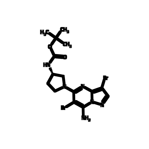 CC(C)(C)OC(=O)N[C@H]1CCN(c2nc3c(Br)cnn3c(N)c2Br)C1